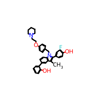 Cc1c(-c2ccc(O)c(F)c2)n(Cc2ccc(OCCN3CCCCC3)cc2)c2ccc(-c3ccccc3O)cc12